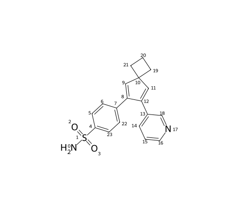 NS(=O)(=O)c1ccc(C2=CC3(C=C2c2cccnc2)CCC3)cc1